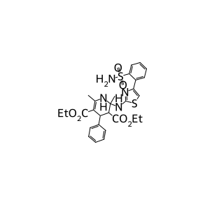 CCOC(=O)C1=C(C)NC(C)(Nc2nc(-c3ccccc3S(N)(=O)=O)cs2)C(C(=O)OCC)C1c1ccccc1